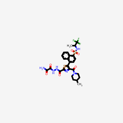 CC1CCN(C(=O)c2nc(C(=O)NNC(=O)C(N)=O)sc2-c2ccc(S(=O)(=O)NC(C)C(F)(F)F)c3ccccc23)CC1